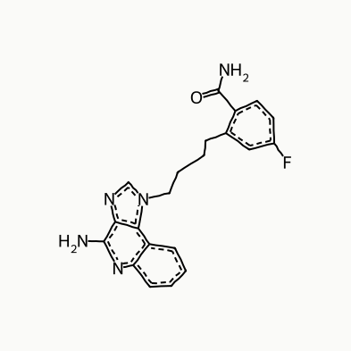 NC(=O)c1ccc(F)cc1CCCCn1cnc2c(N)nc3ccccc3c21